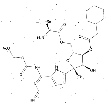 CC(=O)OCOC(=O)N/C(=N/C=N)c1ccc([C@]2(C)O[C@H](COC(=O)[C@@H](N)C(C)(C)C)[C@@H](OC(=O)CC3CCCCC3)[C@H]2O)[nH]1